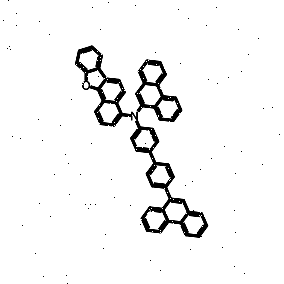 c1ccc2c(c1)cc(-c1ccc(-c3ccc(N(c4cc5ccccc5c5ccccc45)c4cccc5c4ccc4c6ccccc6oc54)cc3)cc1)c1ccccc12